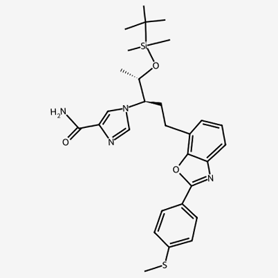 CSc1ccc(-c2nc3cccc(CC[C@H]([C@H](C)O[Si](C)(C)C(C)(C)C)n4cnc(C(N)=O)c4)c3o2)cc1